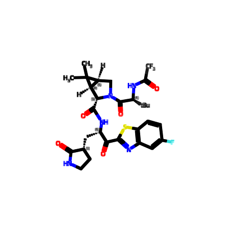 CC(C)(C)[C@H](NC(=O)C(F)(F)F)C(=O)N1C[C@H]2[C@@H]([C@H]1C(=O)N[C@@H](C[C@@H]1CCNC1=O)C(=O)c1nc3cc(F)ccc3s1)C2(C)C